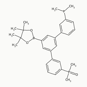 CP(C)c1cccc(-c2cc(B3OC(C)(C)C(C)(C)O3)cc(-c3cccc(P(C)(C)=O)c3)c2)c1